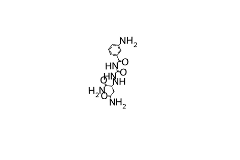 NC(=O)C[C@H](NNC(=O)NC(=O)c1cccc(N)c1)C(N)=O